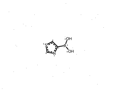 OB(O)c1cscn1